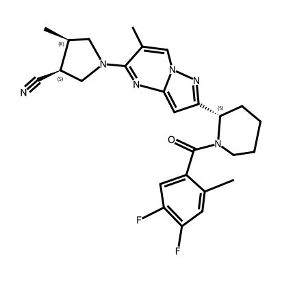 Cc1cc(F)c(F)cc1C(=O)N1CCCC[C@H]1c1cc2nc(N3C[C@@H](C#N)[C@@H](C)C3)c(C)cn2n1